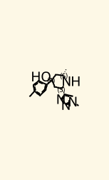 Cc1ccc([C@]2(O)C[C@@H](c3cn(C)nn3)N[C@@H](C)C2)cc1